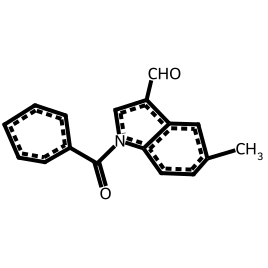 Cc1ccc2c(c1)c(C=O)cn2C(=O)c1ccccc1